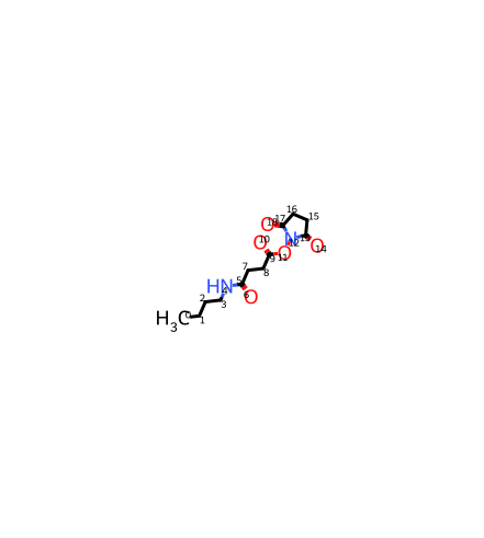 CCCCNC(=O)CCC(=O)ON1C(=O)CCC1=O